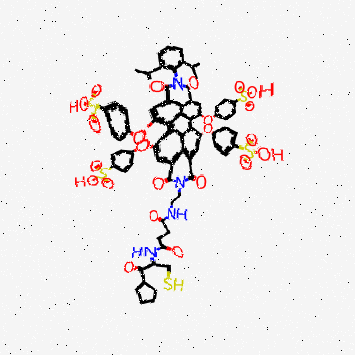 CC(C)c1cccc(C(C)C)c1N1C(=O)c2cc(Oc3ccc(S(=O)(=O)O)cc3)c3c4c(Oc5ccc(S(=O)(=O)O)cc5)cc5c6c(cc(Oc7ccc(S(=O)(=O)O)cc7)c(c7c(Oc8ccc(S(=O)(=O)O)cc8)cc(c2c37)C1=O)c64)C(=O)N(CCNC(=O)CCC(=O)NC(CS)C(=O)C1CCCC1)C5=O